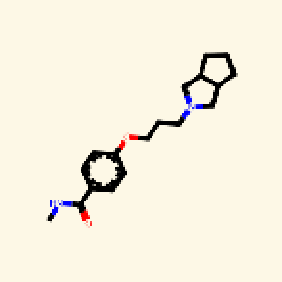 CNC(=O)c1ccc(OCCCN2CC3CCCC3C2)cc1